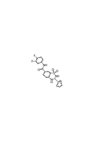 O=C(Nc1ccc(F)c(F)c1)c1ccc2c(c1)S(=O)(=O)NC(c1nccs1)N2